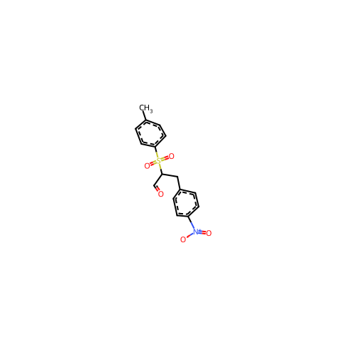 Cc1ccc(S(=O)(=O)C(C=O)Cc2ccc([N+](=O)[O-])cc2)cc1